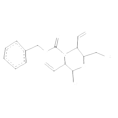 C=CC1C(COC(C)=O)OC(OC(C)=O)C(C=C)N1C(=O)OCc1ccccc1